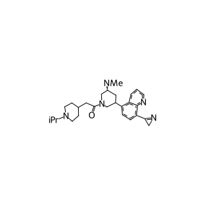 CN[C@H]1CC(c2ccc(C3=NC3)c3ncccc23)CN(C(=O)CC2CCN(C(C)C)CC2)C1